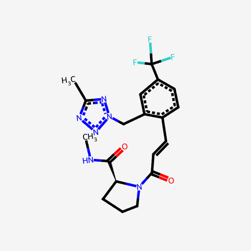 CNC(=O)[C@@H]1CCCN1C(=O)C=Cc1ccc(C(F)(F)F)cc1Cn1nnc(C)n1